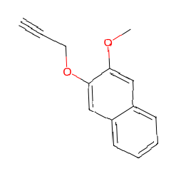 C#CCOc1cc2ccccc2cc1OC